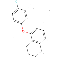 Fc1ccc(Oc2cccc3c2CCCC3)cc1